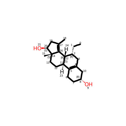 CC[C@@H]1CC2=C(CC[C@@H](O)C2)[C@H]2CC[C@@]3(C)C(=C(C)C[C@@H]3O)[C@H]12